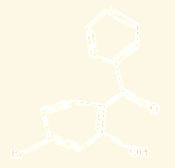 O=C(c1ccccc1)c1ccc(Br)cc1O